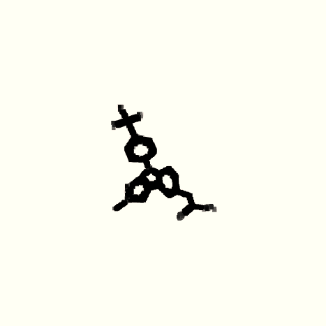 Cn1cc2c3cc(CC(N)=O)ccc3n(-c3ccc(C(F)(F)F)cc3)c2n1